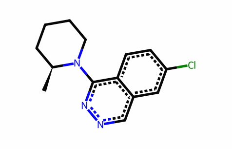 C[C@H]1CCCCN1c1nncc2cc(Cl)ccc12